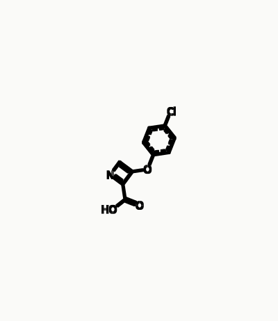 O=C(O)C1=NC=C1Oc1ccc(Cl)cc1